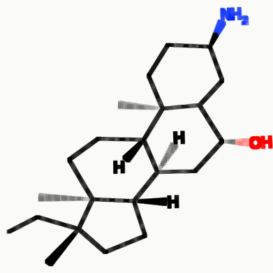 CC[C@@]1(C)CC[C@H]2[C@@H]3C[C@@H](O)C4C[C@H](N)CC[C@]4(C)[C@H]3CC[C@@]21C